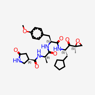 COc1ccc(C[C@H](NC(=O)[C@@H](C)NC(=O)[C@H]2CNC(=O)C2)C(=O)N[C@@H](CC2CCCC2)C(=O)[C@]2(C)CO2)cc1